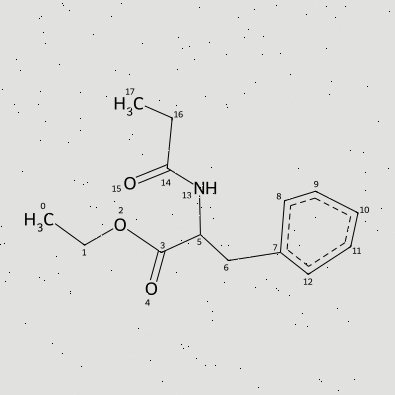 CCOC(=O)C(Cc1ccccc1)NC(=O)CC